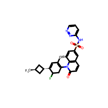 COC1=C(n2c(=O)ccc3cc(S(=O)(=O)Nc4cccnn4)ccc32)CC(F)C([C@H]2C[C@H](C(F)(F)F)C2)=C1